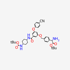 CC(C)(C)OC(=O)NC1CCC(NC(=O)c2cc(OCc3ccc(C(N)C(=O)OC(C)(C)C)cc3)cc(Oc3ccc(C#N)cc3)c2)CC1